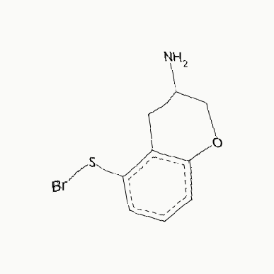 NC1COc2cccc(SBr)c2C1